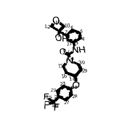 O=C(Nc1cccc(C2(O)COC2)c1)N1CCC(Oc2ccc(C(F)(F)F)cc2)CC1